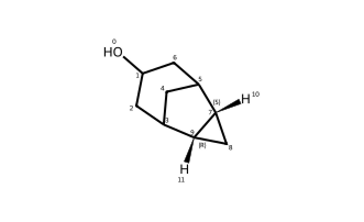 OC1CC2CC(C1)[C@@H]1C[C@H]21